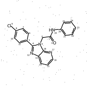 O=C(Cn1c(-c2ccc(Cl)cc2)nc2cccnc21)Nc1ccccc1